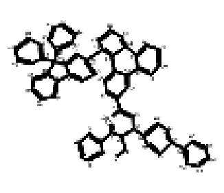 CCC1C(c2ccccc2)=NC(c2ccc3c(c2)c2ccccc2c2cccc(-c4ccc5c(c4)C(c4ccccc4)(c4ccccc4)c4ccccc4-5)c23)=CC1c1ccc(-c2ccccc2)cc1